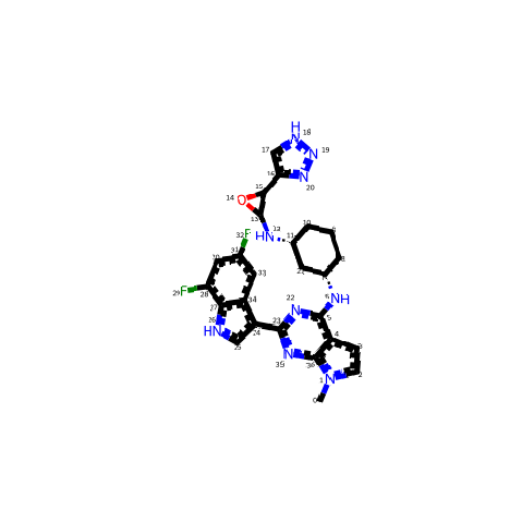 Cn1ccc2c(N[C@H]3CCC[C@@H](NC4OC4c4c[nH]nn4)C3)nc(-c3c[nH]c4c(F)cc(F)cc34)nc21